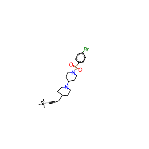 C[Si](C)(C)C#CCC1CCN(C2CCN(S(=O)(=O)c3ccc(Br)cc3)CC2)CC1